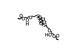 C=CC(=O)OCC(O)COCCC[Si](C)(C)OC(C)(CC)[Si](C)(C)OC(C)(CC)[Si](C)(C)CCCOCC(O)COC(=O)C=C